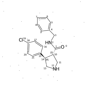 O=C(NCc1ccccc1)[C@@H]1CNC[C@H]1c1ccc(Cl)cc1